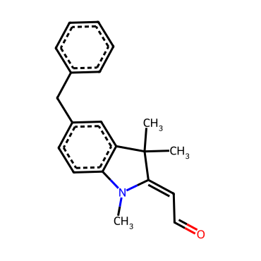 CN1/C(=C\C=O)C(C)(C)c2cc(Cc3ccccc3)ccc21